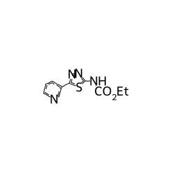 CCOC(=O)Nc1nnc(-c2cccnc2)s1